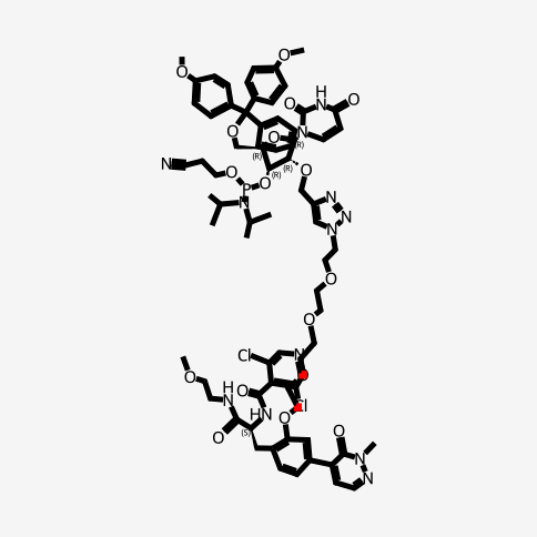 COCCNC(=O)[C@H](Cc1ccc(-c2ccnn(C)c2=O)cc1OCCOCCOCCOCCn1cc(CO[C@@H]2[C@H](OP(OCCC#N)N(C(C)C)C(C)C)[C@@H](COC(c3ccccc3)(c3ccc(OC)cc3)c3ccc(OC)cc3)O[C@H]2n2ccc(=O)[nH]c2=O)nn1)NC(=O)c1c(Cl)cncc1Cl